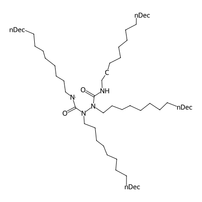 CCCCCCCCCCCCCCCCCC[N]C(=O)N(CCCCCCCCCCCCCCCCCC)N(CCCCCCCCCCCCCCCCCC)C(=O)NCCCCCCCCCCCCCCCCCC